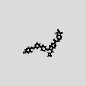 O=C(Nc1ccc2[nH]c(=O)[nH]c2n1)c1ccc2c(c1)nc(CN1CCC(c3cccc(OCc4ccc(Cl)cc4F)n3)CC1)n2C[C@@H]1CCO1